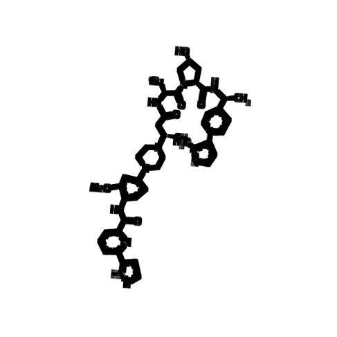 COc1cc(N2CCN([C@@H](C)CC(=O)N[C@H](C(=O)N3C[C@H](O)C[C@H]3C(=O)N[C@@H](C)c3ccc(-c4ccnn4C)cc3)C(C)(C)C)CC2)ccc1NC(=O)c1cccc(-c2ccn[nH]2)n1